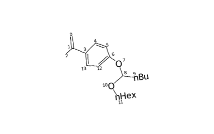 C=C(C)c1ccc(OC(CCCC)OCCCCCC)cc1